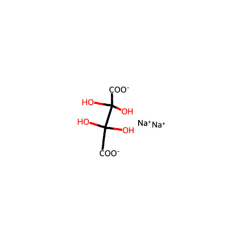 O=C([O-])C(O)(O)C(O)(O)C(=O)[O-].[Na+].[Na+]